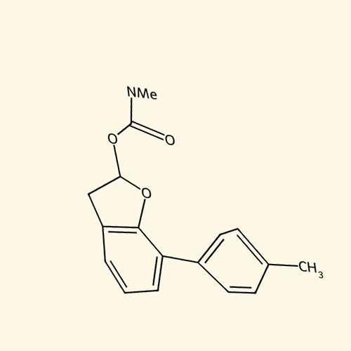 CNC(=O)OC1Cc2cccc(-c3ccc(C)cc3)c2O1